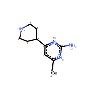 CC(C)(C)c1cc(C2CCNCC2)nc(N)n1